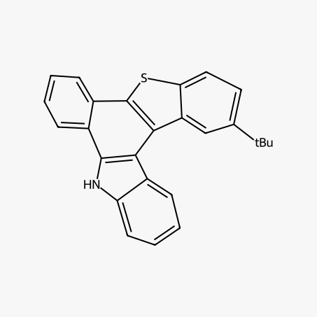 CC(C)(C)c1ccc2sc3c4ccccc4c4[nH]c5ccccc5c4c3c2c1